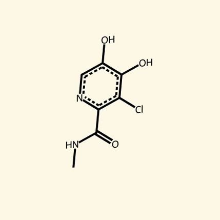 CNC(=O)c1ncc(O)c(O)c1Cl